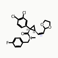 CN(Cc1ccc(F)cc1)C(=O)[C@@]1(c2ccc(Cl)c(Cl)c2)C[C@H]1/C=C\C1OCCO1